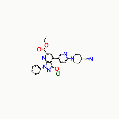 CCOC(=O)c1cc(-c2ccc(N3CCC(C#N)CC3)nc2)c2c(OCl)nn(-c3ccccc3)c2n1